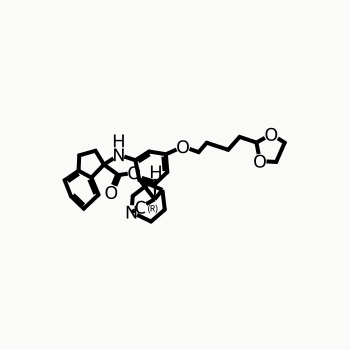 O=C(O[C@H]1CN2CCC1CC2)C1(Nc2cccc(OCCCCC3OCCO3)c2)CCc2ccccc21